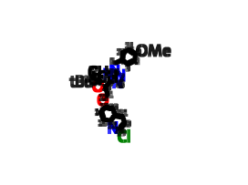 COc1ccc(Cn2nnc(C(COc3ccc4nc(Cl)ccc4c3)O[Si](C)(C)C(C)(C)C)n2)cc1